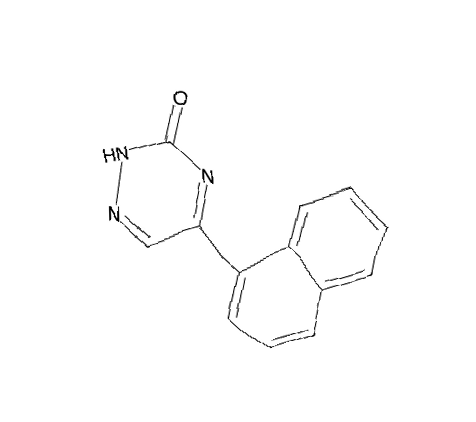 O=c1nc(-c2cccc3ccccc23)cn[nH]1